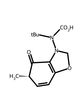 C[C@H]1C=CC2=C(C1=O)N(N(C(=O)O)C(C)(C)C)CO2